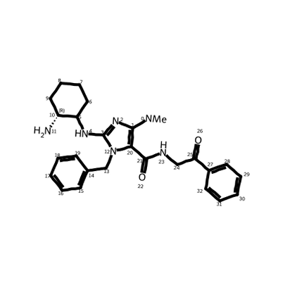 CNc1nc(NC2CCCC[C@H]2N)n(Cc2ccccc2)c1C(=O)NCC(=O)c1ccccc1